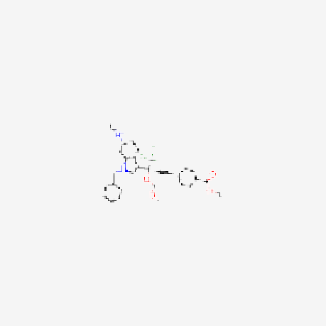 [C-]#[N+]c1ccc2c(C(C#Cc3ccc(C(=O)OCC)cc3)(OCOC)C(F)(F)F)cn(Cc3ccccc3)c2c1